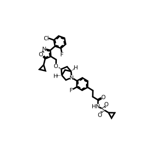 O=C(CCc1ccc(N2C[C@@H]3C[C@H]2C[C@H]3OCc2c(-c3c(F)cccc3Cl)noc2C2CC2)c(F)c1)NS(=O)(=O)C1CC1